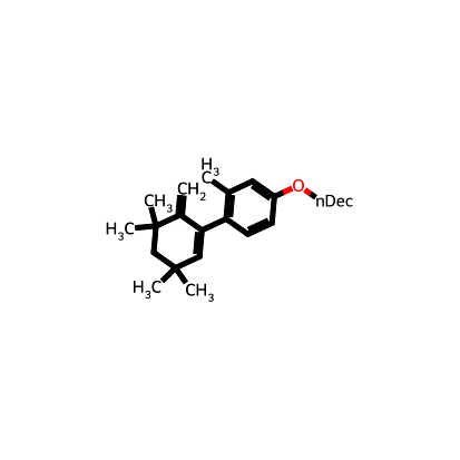 C=C1C(c2ccc(OCCCCCCCCCC)cc2C)=CC(C)(C)CC1(C)C